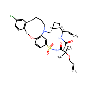 C=CCOC(C)(C)C(=O)NS(=O)(=O)c1ccc2c(c1)N(C[C@@H]1CC[C@H]1[C@@H](C=C)NC(=O)OC)CCCCc1cc(Cl)ccc1CO2